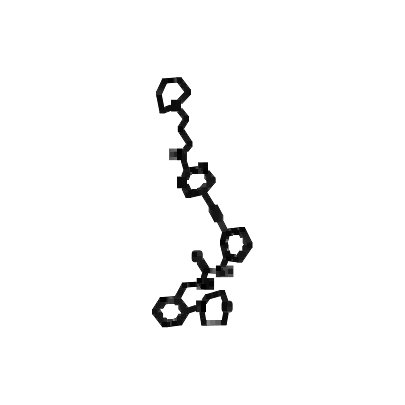 O=C(NCc1ccccc1N1CCOCC1)Nc1cccc(C#Cc2cnc(NCCCN3CCCCC3)nc2)c1